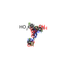 O=C(NCCCN1CCN(C(=O)NC(C(=O)N[C@H]2Cc3ccc(F)c(C(=O)O)c3OB2O)c2cc(F)c(O)c(O)c2Cl)C(=O)C1=O)c1c(F)ccc(O)c1Cl